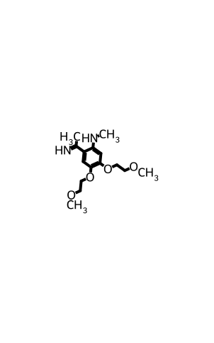 CNc1cc(OCCOC)c(OCCOC)cc1C(C)=N